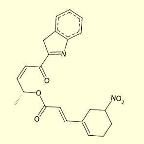 C[C@H](/C=C\C(=O)C1=Nc2ccccc2C1)OC(=O)/C=C/C1=CCCC([N+](=O)[O-])C1